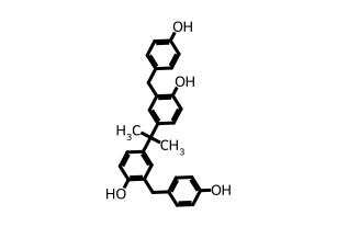 CC(C)(c1ccc(O)c(Cc2ccc(O)cc2)c1)c1ccc(O)c(Cc2ccc(O)cc2)c1